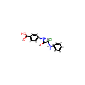 O=C(O)c1ccc(NC(=O)C(Cl)Nc2ccccc2)cc1